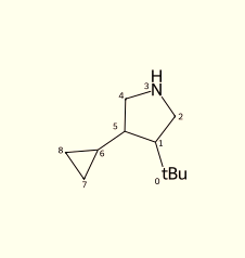 CC(C)(C)C1CNCC1C1CC1